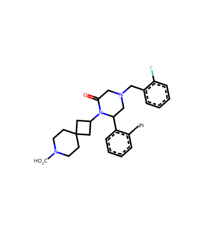 CC(C)c1ccccc1C1CN(Cc2ccccc2F)CC(=O)N1C1CC2(CCN(C(=O)O)CC2)C1